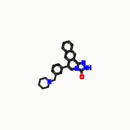 O=c1[nH]nc2c3cc4ccccc4cc3c(-c3cccc(CN4CCCCC4)c3)cn12